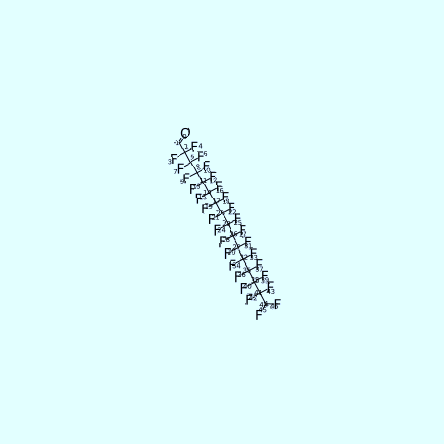 O=[C]C(F)(F)C(F)(F)C(F)(F)C(F)(F)C(F)(F)C(F)(F)C(F)(F)C(F)(F)C(F)(F)C(F)(F)C(F)(F)C(F)(F)C(F)(F)C(F)(F)C(F)F